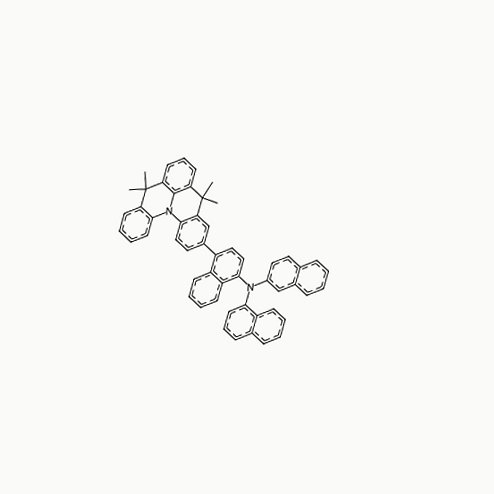 CC1(C)c2ccccc2N2c3ccc(-c4ccc(N(c5ccc6ccccc6c5)c5cccc6ccccc56)c5ccccc45)cc3C(C)(C)c3cccc1c32